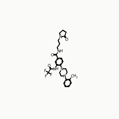 Cc1ccccc1N1CCN(c2ccc(C(=O)NCCCN3CCCC3=O)cc2NC(=O)C(F)(F)F)CC1